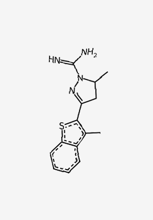 Cc1c(C2=NN(C(=N)N)C(C)C2)sc2ccccc12